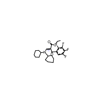 CCOC(=O)/C(=C/N(C1CCCCC1)C1CCCCC1)C(=O)c1cc(F)c(F)c(F)c1F